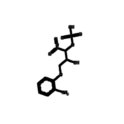 Nc1ccccc1OCC(O)C(OS(=O)(=O)O)[SH](=O)=O